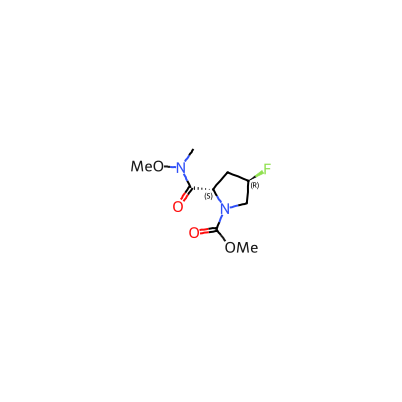 COC(=O)N1C[C@H](F)C[C@H]1C(=O)N(C)OC